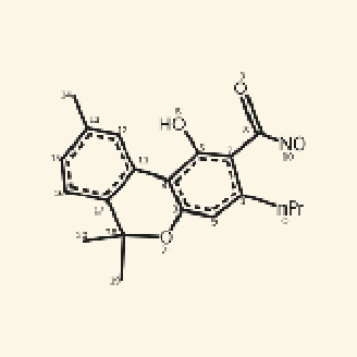 CCCc1cc2c(c(O)c1C(=O)N=O)-c1cc(C)ccc1C(C)(C)O2